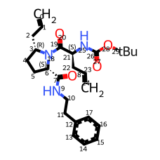 C=CC[C@H]1CC[C@@H](C(=O)NCCc2ccccc2)N1C(=O)[C@H](CC=C)NC(=O)OC(C)(C)C